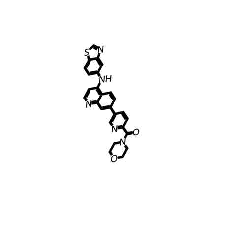 O=C(c1ccc(-c2ccc3c(Nc4ccc5scnc5c4)ccnc3c2)cn1)N1CCOCC1